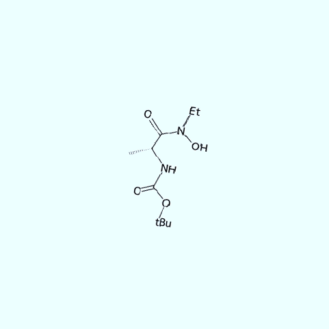 CCN(O)C(=O)[C@@H](C)NC(=O)OC(C)(C)C